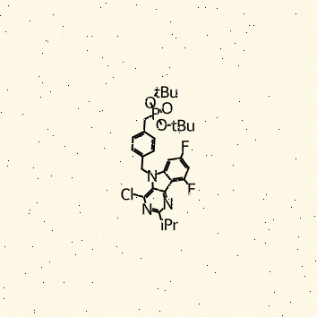 CC(C)c1nc(Cl)c2c(n1)c1c(F)cc(F)cc1n2Cc1ccc(CP(=O)(OC(C)(C)C)OC(C)(C)C)cc1